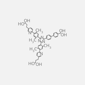 Cc1cc(-c2nc(-c3ccc(-c4ccc(C(O)O)cc4)cc3)nc(-c3cc(C)c(-c4ccc(CCC(O)O)cn4)cc3C)n2)c(C)cc1-c1ccc(CCC(O)O)cn1